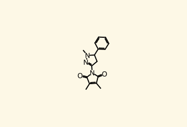 CC1=C(C)C(=O)N(C2=NN(C)C(c3ccccc3)C2)C1=O